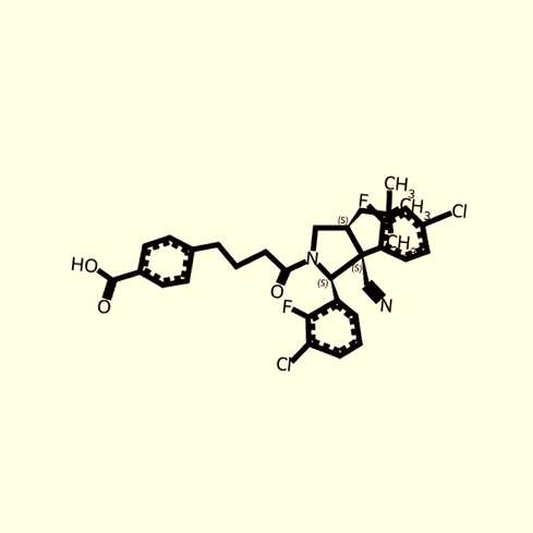 CC(C)(C)C[C@@H]1CN(C(=O)CCCc2ccc(C(=O)O)cc2)[C@H](c2cccc(Cl)c2F)[C@@]1(C#N)c1ccc(Cl)cc1F